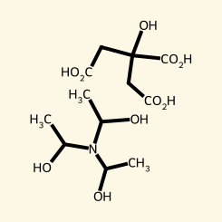 CC(O)N(C(C)O)C(C)O.O=C(O)CC(O)(CC(=O)O)C(=O)O